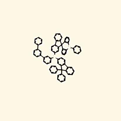 c1ccc(-c2cccc(-c3cccc(N(c4ccc5c(c4)C(c4ccccc4)(c4ccccc4)c4ccccc4-5)c4ccc5c(c4)C4(c6ccccc6-5)c5ccccc5N(c5ccccc5)c5ccccc54)c3)c2)cc1